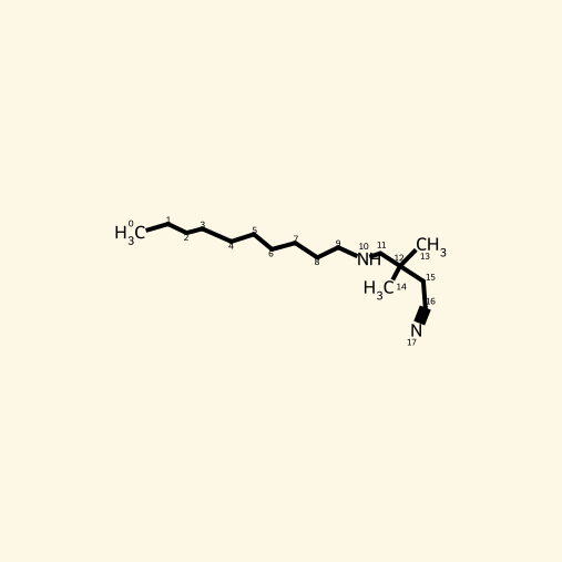 CCCCCCCCCCNCC(C)(C)CC#N